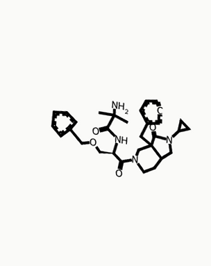 CC(C)(N)C(=O)N[C@H](COCc1ccccc1)C(=O)N1CCC2CN(C3CC3)C(=O)C2(Cc2ccccc2)C1